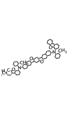 C=C/C=C\c1c(C)oc2c(N(c3ccc4cc5c(cc4c3)oc3cc4c(cc35)oc3cc5cc(N(c6ccccc6C)c6cccc7c6oc6ccccc67)ccc5cc34)c3ccccc3C)cccc12